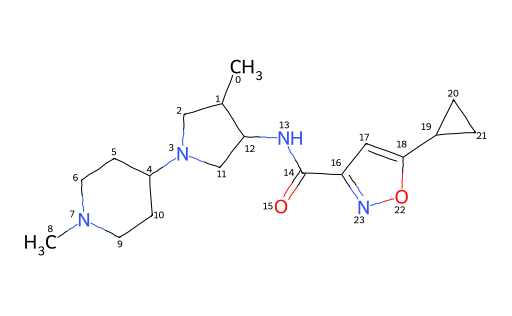 CC1CN(C2CCN(C)CC2)CC1NC(=O)c1cc(C2CC2)on1